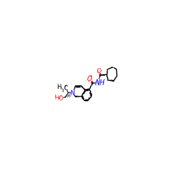 C[C@H](CO)N1C=Cc2c(cccc2C(=O)NC(=O)C2CCCCCC2)C1